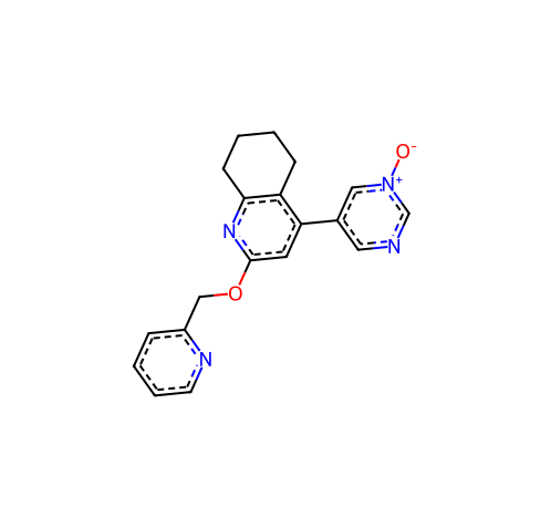 [O-][n+]1cncc(-c2cc(OCc3ccccn3)nc3c2CCCC3)c1